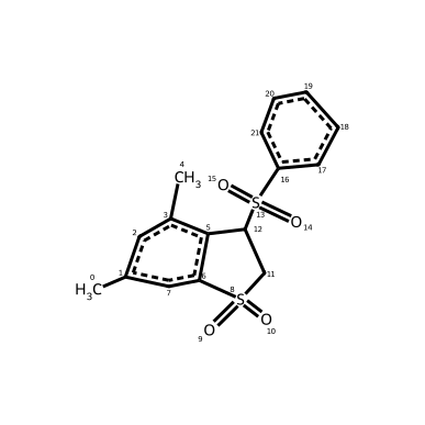 Cc1cc(C)c2c(c1)S(=O)(=O)CC2S(=O)(=O)c1ccccc1